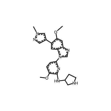 COc1cc2ncn(-c3ccc(OC)c(NC4CCNC4)n3)c2cc1-c1cnn(C)c1